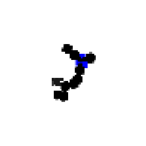 N#Cc1cc(-c2ccc3ccc(-c4ccc(-c5nc(-c6ccccc6)nc(-c6ccc(-c7ccccc7)cc6)n5)cc4)cc3c2)cc(-c2cccc3ccccc23)c1